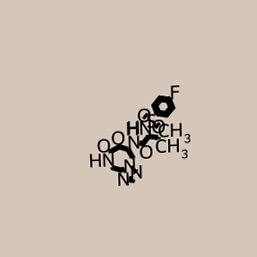 CC(C)C(NS(=O)(=O)c1ccc(F)cc1)C(=O)NC1Cn2ncnc2CNC(=O)C1=O